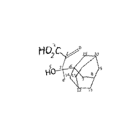 C=C(C(=O)O)C(C)(O)C12CC3CC(CC(C3)C1)C2